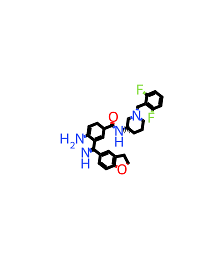 N=C(C1=CC(C(=O)N[C@@H]2CCCN(Cc3c(F)cccc3F)C2)CC=C1N)c1ccc2c(c1)CCO2